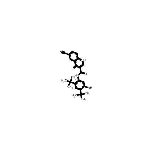 CC(C)(C)c1cc(C(C)(C)C)c(NC(=O)c2c[nH]c3ccc(C#N)cc3c2=O)cc1O